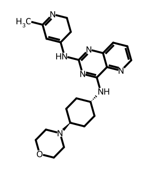 CC1=NCCC(Nc2nc(N[C@H]3CC[C@H](N4CCOCC4)CC3)c3ncccc3n2)=C1